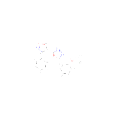 Cc1onc(-c2ccccc2)c1-c1nnc(-c2ccccc2OC(F)F)o1